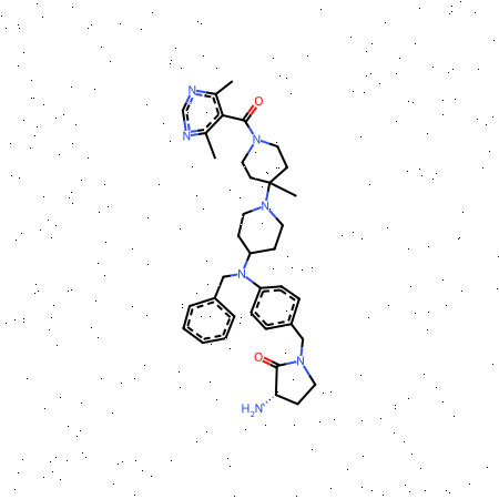 Cc1ncnc(C)c1C(=O)N1CCC(C)(N2CCC(N(Cc3ccccc3)c3ccc(CN4CC[C@H](N)C4=O)cc3)CC2)CC1